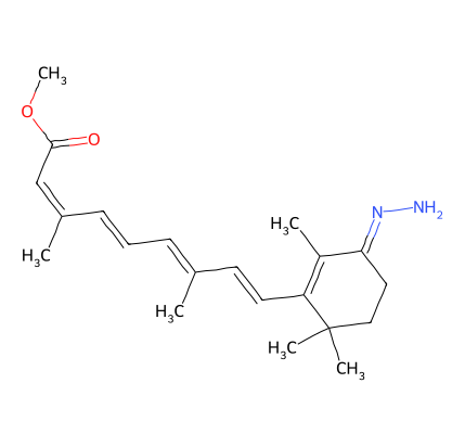 COC(=O)\C=C(C)/C=C/C=C(C)/C=C/C1=C(C)C(=NN)CCC1(C)C